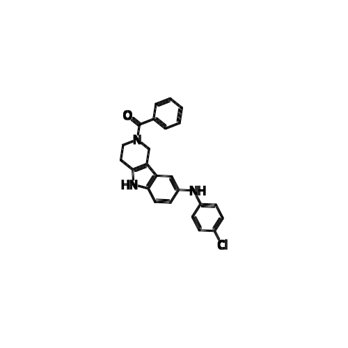 O=C(c1ccccc1)N1CCc2[nH]c3ccc(Nc4ccc(Cl)cc4)cc3c2C1